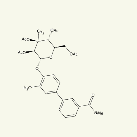 CNC(=O)c1cccc(-c2ccc(O[C@H]3O[C@H](COC(C)=O)[C@@H](OC(C)=O)[C@](C)(OC(C)=O)[C@@H]3OC(C)=O)c(C)c2)c1